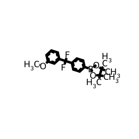 COc1cccc(C(F)(F)c2ccc(B3OC(C)(C)C(C)(C)O3)cc2)c1